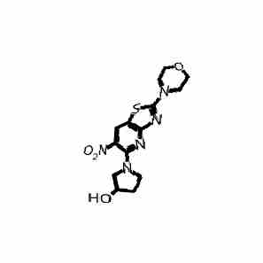 O=[N+]([O-])c1cc2sc(N3CCOCC3)nc2nc1N1CCC(O)C1